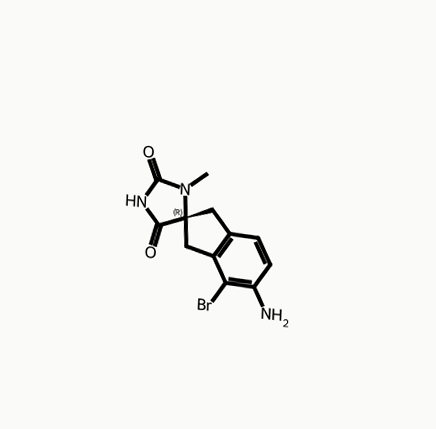 CN1C(=O)NC(=O)[C@]12Cc1ccc(N)c(Br)c1C2